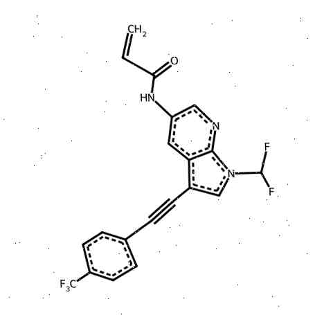 C=CC(=O)Nc1cnc2c(c1)c(C#Cc1ccc(C(F)(F)F)cc1)cn2C(F)F